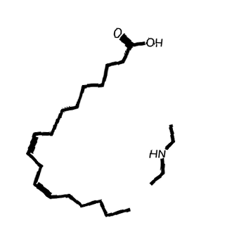 CCCCC/C=C\C/C=C\CCCCCCCC(=O)O.CCNCC